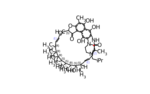 C/C1=C/C=C/[C@H](C)[C@H](O)[C@@H](C)[C@@H](O)[C@@H](C)[C@H](O)[C@H](C)[C@@H](C)/C=C/O[C@@]2(C)Oc3c(C)c(O)c4c(O)c(c(N5CCN(CC(C)C)CC5)c(O)c4c3C2=O)NC1=O